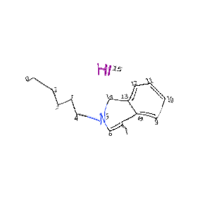 CCCCCN1C=Cc2ccccc2C1.I